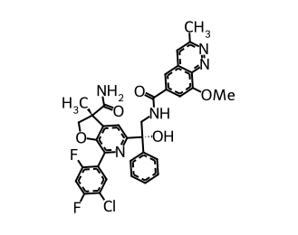 COc1cc(C(=O)NC[C@@](O)(c2ccccc2)c2cc3c(c(-c4cc(Cl)c(F)cc4F)n2)OC[C@]3(C)C(N)=O)cc2cc(C)nnc12